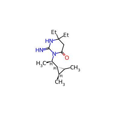 CCC1(CC)CC(=O)N([C@H](C)[C@@H]2C(C)[C@H]2C)C(=N)N1